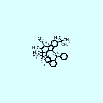 CC1=C(C)C(C)(C(C)(C)C)C(C2=CC=CC2)=C2[C]([Zr+2]=[C](c3ccccc3)c3ccccc3)=c3cc(C(C)(C)C)ccc3=C12.[Cl-].[Cl-]